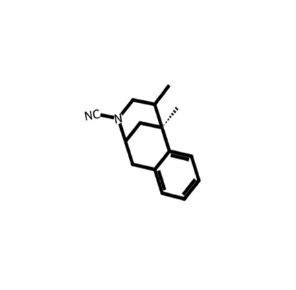 CC1CN(C#N)C2Cc3ccccc3[C@@]1(C)C2